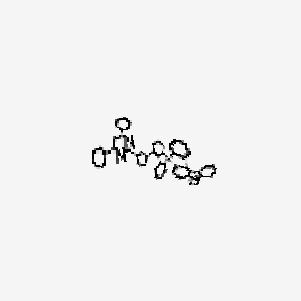 c1ccc(-c2cc(-c3ccccc3)nc(-c3cccc(-c4cccc5c4-c4ccccc4C54c5ccccc5-c5c4ccc4oc6ccccc6c54)c3)n2)cc1